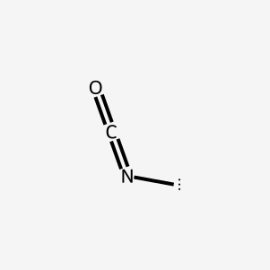 [C]N=C=O